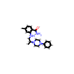 Cc1ccc(C(N)=O)c(NCC(C)N2CCN(c3ccccc3)CC2)c1